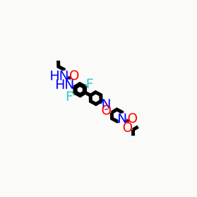 CCCNC(=O)Nc1cc(F)c(C2CCC(=NOC3CCN(C(=O)OC(C)C)CC3)CC2)cc1F